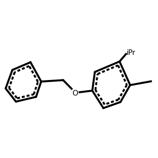 Cc1ccc(OCc2ccccc2)cc1C(C)C